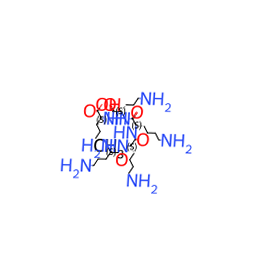 CCCC[C@H](NC(=O)[C@H](CCCN)NC(=O)[C@H](CCCCN)NC(=O)[C@H](CCCCN)NC(=O)[C@@H](N)CCCN)C(=O)O